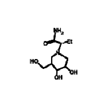 [CH2]C[C@@H](C(N)=O)N1CC(O)C(O)C(CO)C1